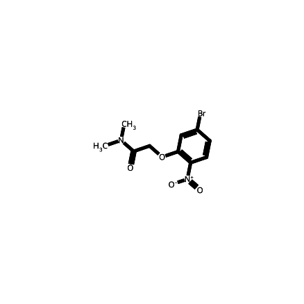 CN(C)C(=O)COc1cc(Br)ccc1[N+](=O)[O-]